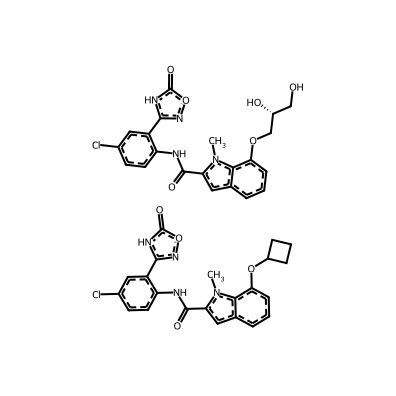 Cn1c(C(=O)Nc2ccc(Cl)cc2-c2noc(=O)[nH]2)cc2cccc(OC3CCC3)c21.Cn1c(C(=O)Nc2ccc(Cl)cc2-c2noc(=O)[nH]2)cc2cccc(OC[C@H](O)CO)c21